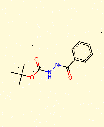 CC(C)(C)OC(=O)N[N]C(=O)c1ccccc1